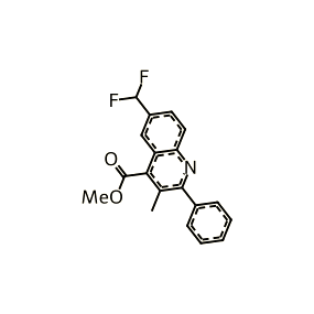 COC(=O)c1c(C)c(-c2ccccc2)nc2ccc(C(F)F)cc12